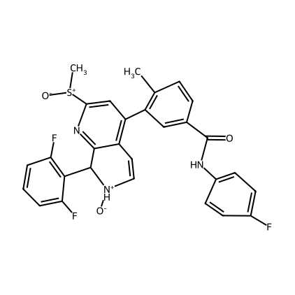 Cc1ccc(C(=O)Nc2ccc(F)cc2)cc1-c1cc([S+](C)[O-])nc2c1C=C[NH+]([O-])C2c1c(F)cccc1F